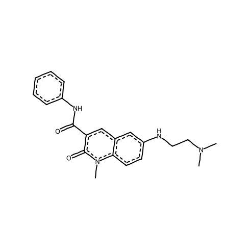 CN(C)CCNc1ccc2c(c1)cc(C(=O)Nc1ccccc1)c(=O)n2C